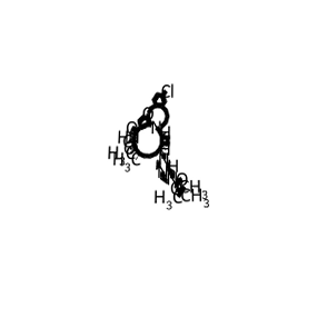 C[C@@H]1[C@@H](C)CCC[C@@H](CN2CCN3CCN(C(=O)OC(C)(C)C)C[C@H]3C2)[C@@H]2CC[C@H]2CN2CCCCc3cc(Cl)ccc3COc3ccc(cc32)C(=O)NS1(=O)=O